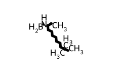 BNC(CC)CCCCCCCC(C)(C)CC